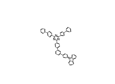 c1ccc(-c2ccc(-c3nc(-c4ccc(-c5ccccc5)cc4)nc(-c4ccc(-c5cccc(-c6ccc(-n7c8ccccc8c8ccccc87)cc6)c5)cc4)n3)cc2)cc1